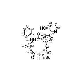 CCC(C)C1NC(=O)[C@H](C)[C@H](O)[C@H](Cc2cccnc2)NC(=O)[C@@H](NC(=O)c2ncccc2O)[C@@H](C)OC1=O